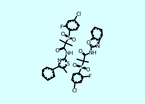 CC(C)(C(=O)Nc1nc2ccccc2o1)S(=O)(=O)c1ccc(Cl)cc1F.Cc1sc(NC(=O)C(C)(C)S(=O)(=O)c2ccc(Cl)cc2F)nc1-c1ccccc1